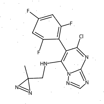 CC1(CNc2c(-c3c(F)cc(F)cc3F)c(Cl)nc3ncnn23)N=N1